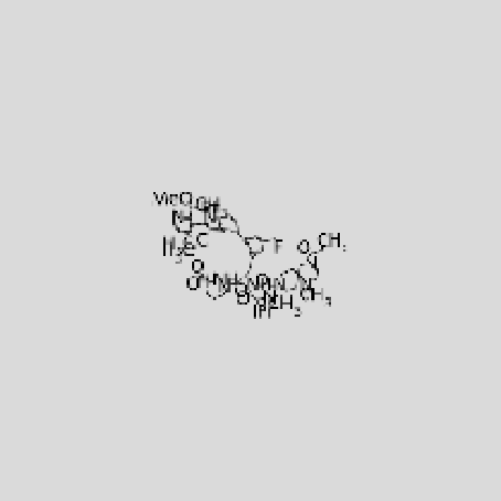 C=CC(=O)N1CCN(C)C2(CCN(C(=O)N(C)[C@H](C(=O)N[C@H]3Cc4cc(CF)cc(c4)-c4ccc5c(c4)c(c(-c4cccnc4[C@H](C)OC)n5CC)CC(C)(C)COC(=O)[C@@H]4CCCN(N4)C3=O)C(C)C)CC2)C1